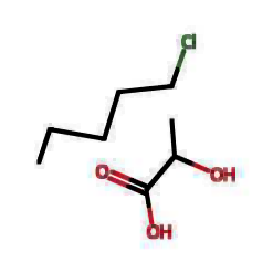 CC(O)C(=O)O.CCCCCCl